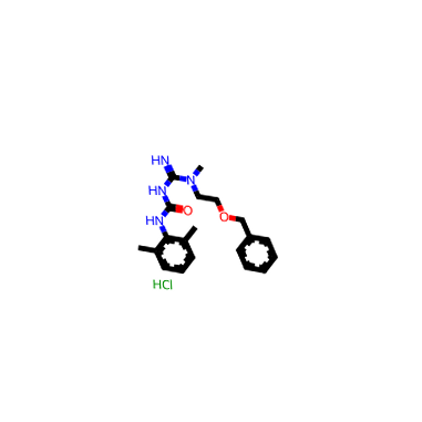 Cc1cccc(C)c1NC(=O)NC(=N)N(C)CCOCc1ccccc1.Cl